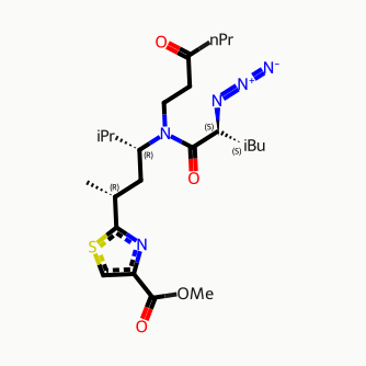 CCCC(=O)CCN(C(=O)[C@@H](N=[N+]=[N-])[C@@H](C)CC)[C@H](C[C@@H](C)c1nc(C(=O)OC)cs1)C(C)C